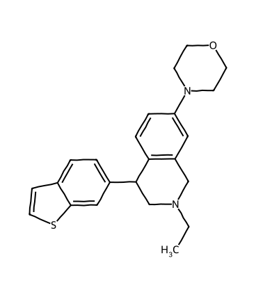 CCN1Cc2cc(N3CCOCC3)ccc2C(c2ccc3ccsc3c2)C1